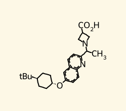 CC(c1ccc2cc(O[C@H]3CC[C@H](C(C)(C)C)CC3)ccc2n1)N1CC(C(=O)O)C1